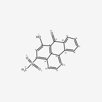 CS(=O)(=O)c1cc(O)c2c3c(ncnc13)-c1ccccc1C2=O